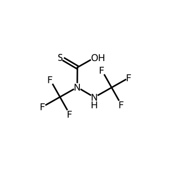 OC(=S)N(NC(F)(F)F)C(F)(F)F